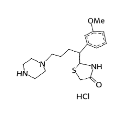 COc1cccc(C(CCCN2CCNCC2)C2NC(=O)CS2)c1.Cl